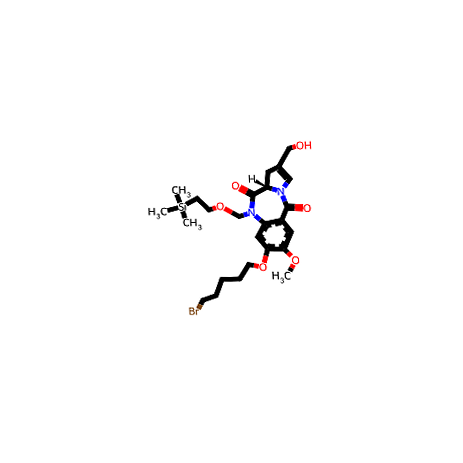 COc1cc2c(cc1OCCCCCBr)N(COCC[Si](C)(C)C)C(=O)[C@@H]1CC(CO)=CN1C2=O